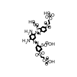 Nc1cc(N)c(N=Nc2ccc(S(=O)(=O)CCOS(=O)(=O)O)cc2SOOO)cc1N=Nc1ccc(S(=O)(=O)CCOS(=O)(=O)O)cc1SOOO